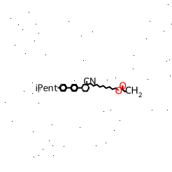 C=CC(=O)OCCCCCCCCCC1(C#N)CCCC(c2ccc(-c3ccc(C(C)CCC)cc3)cc2)C1